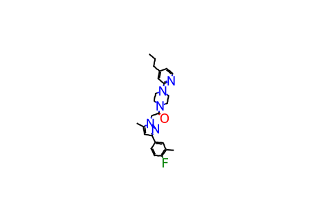 CCCc1ccnc(N2CCN(C(=O)Cn3nc(-c4ccc(F)c(C)c4)cc3C)CC2)c1